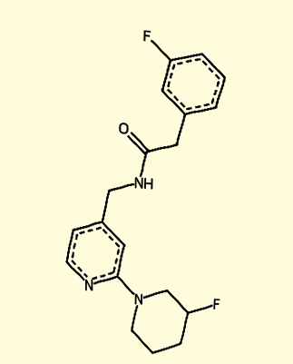 O=C(Cc1cccc(F)c1)NCc1ccnc(N2CCCC(F)C2)c1